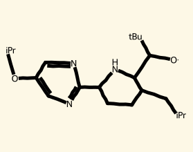 CC(C)CC1CCC(c2ncc(OC(C)C)cn2)NC1C([O])C(C)(C)C